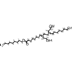 CCCCCCCCCOC(=O)CCCCCCCN(CCO)CCN(CCO)CCCCCCCC